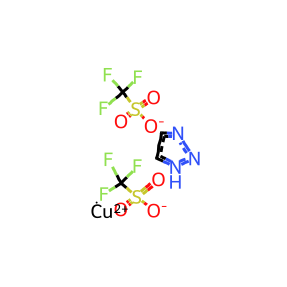 O=S(=O)([O-])C(F)(F)F.O=S(=O)([O-])C(F)(F)F.[Cu+2].c1c[nH]nn1